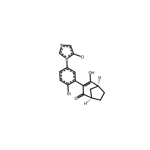 CCc1ccc(-n2cncc2Cl)cc1C1=C(O)[C@H]2CC[C@H](C2)C1=O